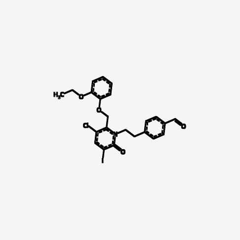 CCOc1ccccc1OCc1c(Cl)cc(I)c(=O)n1CCc1ccc(C=O)cc1